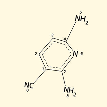 N#Cc1ccc(N)nc1N